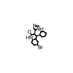 O=c1[nH]c2ccc(Br)cc2c(-c2ccccc2)c1-c1cnc[nH]1